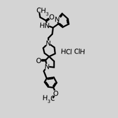 CCC(=O)NC(CCN1CCC2(CC1)CCN(Cc1ccc(OC)cc1)C2=O)c1ccccn1.Cl.Cl